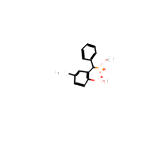 CCOP(=O)(OCC)C(c1ccccc1)c1cc(C)ccc1O